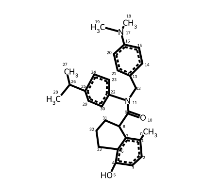 Cc1ccc(O)c2c1C(C(=O)N(Cc1ccc(N(C)C)cc1)c1ccc(C(C)C)cc1)CCC2